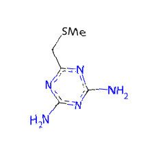 CSCc1nc(N)nc(N)n1